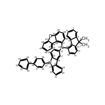 CC1(C)c2ccccc2-c2c(N(c3ccc4c(c3)c3ccccc3n4-c3ccc(-c4ccccc4)cc3)c3cccc4oc5ccccc5c34)cccc21